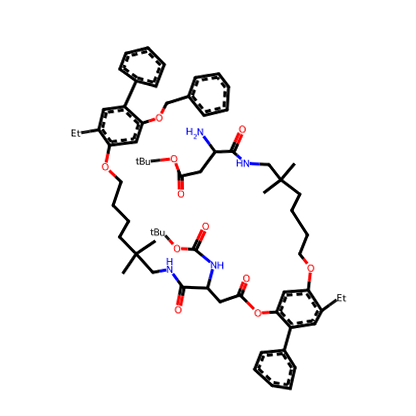 CCc1cc(-c2ccccc2)c(OC(=O)CC(NC(=O)OC(C)(C)C)C(=O)NCC(C)(C)CCCCOc2cc(OCc3ccccc3)c(-c3ccccc3)cc2CC)cc1OCCCCC(C)(C)CNC(=O)C(N)CC(=O)OC(C)(C)C